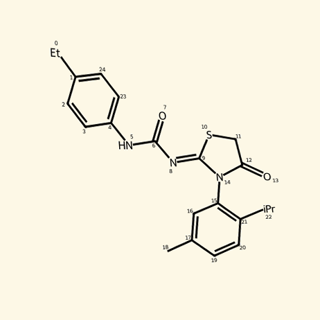 CCc1ccc(NC(=O)N=C2SCC(=O)N2c2cc(C)ccc2C(C)C)cc1